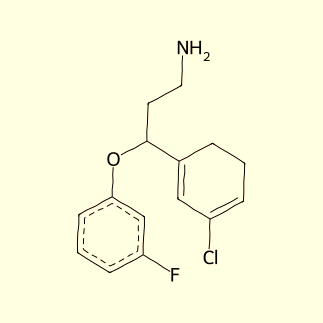 NCCC(Oc1cccc(F)c1)C1=CC(Cl)=CCC1